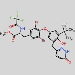 COC(=O)[C@H](Cc1cc(Br)c(Oc2cc(Cc3ccc(=O)[nH]n3)c(O)c(C(C)(C)C)c2)c(Br)c1)NC(=O)C(F)(F)F